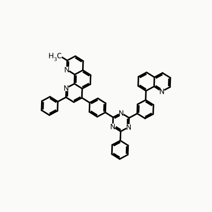 Cc1ccc2ccc3c(-c4ccc(-c5nc(-c6ccccc6)nc(-c6cccc(-c7cccc8cccnc78)c6)n5)cc4)cc(-c4ccccc4)nc3c2n1